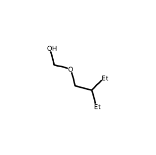 CCC(CC)COCO